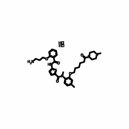 Cc1ccc(N(C)C(=O)c2ccc(NC(=O)c3ccccc3OCCCN)s2)c(OCCCCCC(=O)N2CCN(C)CC2)c1.Cl.Cl